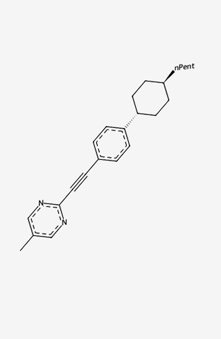 CCCCC[C@H]1CC[C@H](c2ccc(C#Cc3ncc(C)cn3)cc2)CC1